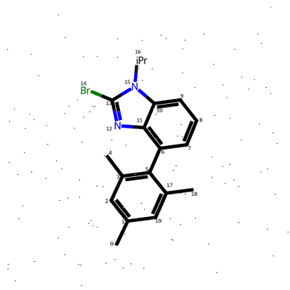 Cc1cc(C)c(-c2cccc3c2nc(Br)n3C(C)C)c(C)c1